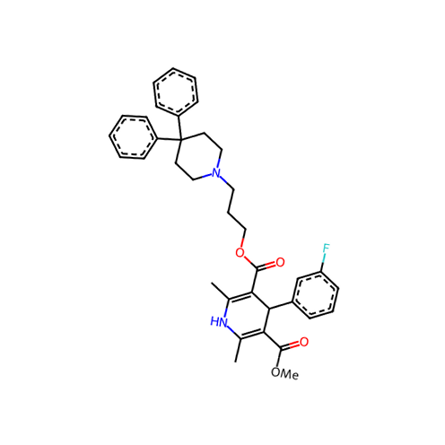 COC(=O)C1=C(C)NC(C)=C(C(=O)OCCCN2CCC(c3ccccc3)(c3ccccc3)CC2)C1c1cccc(F)c1